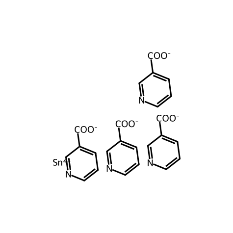 O=C([O-])c1cccnc1.O=C([O-])c1cccnc1.O=C([O-])c1cccnc1.O=C([O-])c1cccnc1.[Sn+4]